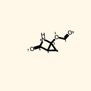 O=COC12CC1C(=O)N2